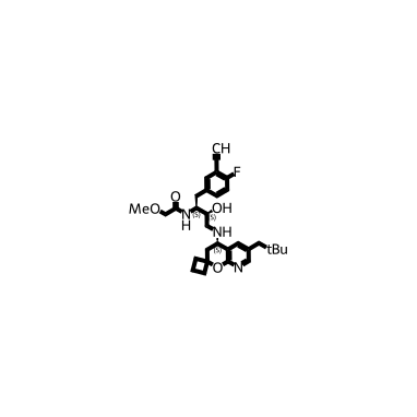 C#Cc1cc(C[C@H](NC(=O)COC)[C@@H](O)CN[C@H]2CC3(CCC3)Oc3ncc(CC(C)(C)C)cc32)ccc1F